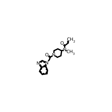 C=CC(=O)N(C)C1CCN(C(=O)Cn2cnc3ccccc32)CC1